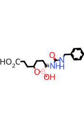 O=C(O)CCC1CC[C@H](NC(=O)NCc2ccccc2)B(O)O1